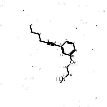 CCCCC#Cc1cccc(OCCN)c1